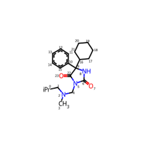 CC(C)CN(C)CN1C(=O)NC(c2ccccc2)(C2CCCCC2)C1=O